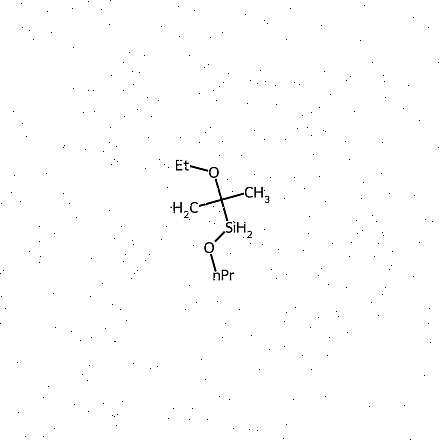 [CH2]C(C)(OCC)[SiH2]OCCC